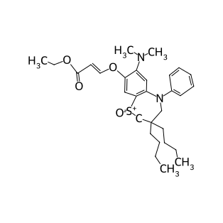 CCCCC1(CCCC)CN(c2ccccc2)c2cc(N(C)C)c(O/C=C/C(=O)OCC)cc2[S+]([O-])C1